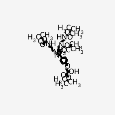 CC(C)(C)OC(=O)NCCCn1nc(-c2ccc(OC[C@@H](O)C(=O)OC(C)(C)C)cc2)cc1CN(CCNC(=O)OC(C)(C)C)C(=O)OC(C)(C)C